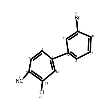 N#Cc1ccc(-c2cccc(Br)c2)cc1Cl